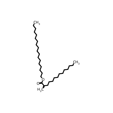 C=C(CCCCCCCCCCCC)C(=O)OCCCCCCCCCCCCCCCCCC